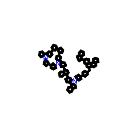 c1ccc(-c2ccc3c(c2)c2ccccc2n3-c2cccc(-c3cccc(-n4c5ccc(-c6ccccc6)cc5c5ccc(-c6ccc(-c7ccc8c9c%10ccccc%10ccc9n(-c9ccc(-c%10ccc(Cc%11cc%12cc(-c%13cccc%14ccccc%13%14)ccc%12c%12c%11ccc%11ccccc%11%12)cc%10)cc9)c8c7)c7ccccc67)cc54)c3)c2)cc1